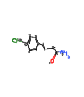 NC(=O)[CH]C=Cc1ccc(Cl)cc1